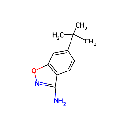 CC(C)(C)c1ccc2c(N)noc2c1